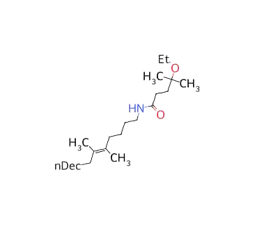 CCCCCCCCCCC/C(C)=C(\C)CCCCNC(=O)CCC(C)(C)OCC